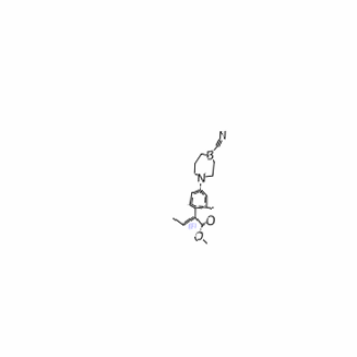 C/C=C(/C(=O)OC)c1ccc(N2CCCB(C#N)CC2)cc1C